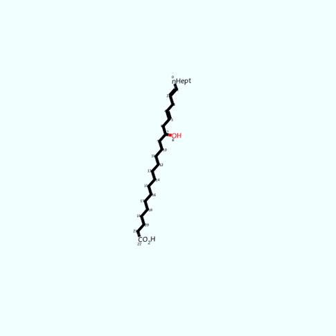 CCCCCCCC=CCC=CCC(O)CCCCCCCCCCCCCC(=O)O